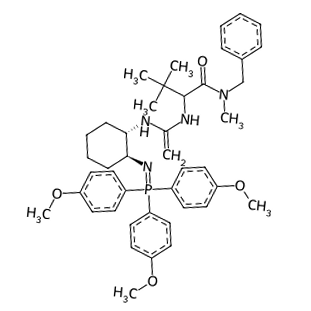 C=C(NC(C(=O)N(C)Cc1ccccc1)C(C)(C)C)N[C@H]1CCCC[C@@H]1N=P(c1ccc(OC)cc1)(c1ccc(OC)cc1)c1ccc(OC)cc1